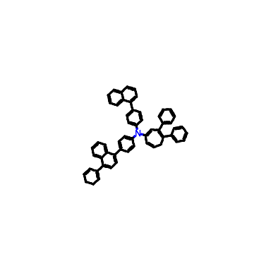 C1=CC(c2ccc(-c3ccc(N(C4=CC(c5ccccc5)=C(c5ccccc5)CC=C4)c4ccc(-c5cccc6ccccc56)cc4)cc3)c3ccccc23)=CCC1